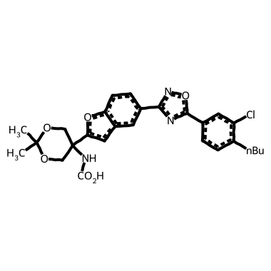 CCCCc1ccc(-c2nc(-c3ccc4oc(C5(NC(=O)O)COC(C)(C)OC5)cc4c3)no2)cc1Cl